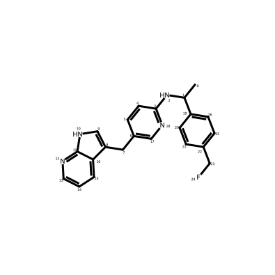 CC(Nc1ccc(Cc2c[nH]c3ncccc23)cn1)c1ccc(CF)cc1